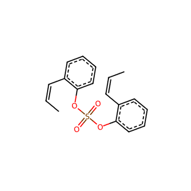 C/C=C\c1ccccc1OS(=O)(=O)Oc1ccccc1/C=C\C